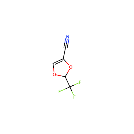 N#CC1=COC(C(F)(F)F)O1